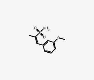 COc1cccc(C=C(C)S(N)(=O)=O)c1